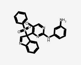 Nc1cccc(Nc2ncc(Cl)c(C3(S(=O)(=O)c4ccccc4)C=Nc4ccccc43)n2)c1